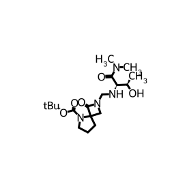 C[C@@H](O)[C@H](NCN1CC2(CCCN2C(=O)OC(C)(C)C)C1=O)C(=O)N(C)C